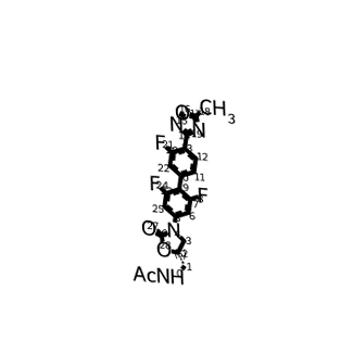 CC(=O)NC[C@H]1CN(c2cc(F)c(-c3ccc(-c4noc(C)n4)c(F)c3)c(F)c2)C(=O)O1